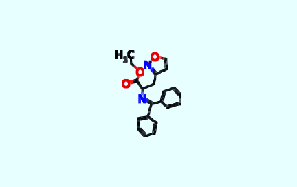 CCOC(=O)C(Cc1ccon1)N=C(c1ccccc1)c1ccccc1